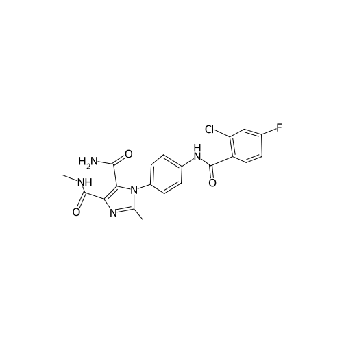 CNC(=O)c1nc(C)n(-c2ccc(NC(=O)c3ccc(F)cc3Cl)cc2)c1C(N)=O